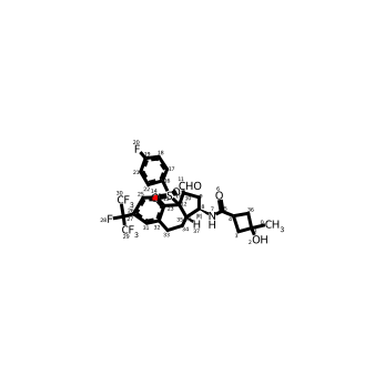 CC1(O)CC(C(=O)N[C@@H]2CC(C=O)C3(S(=O)(=O)c4ccc(F)cc4)c4ccc(C(F)(C(F)(F)F)C(F)(F)F)cc4CC[C@@H]23)C1